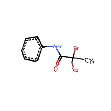 N#CC(Br)(Br)C(=O)Nc1ccccc1